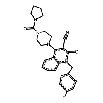 N#Cc1c(N2CCN(C(=O)N3CCCC3)CC2)c2ccccc2n(Cc2ccc(F)cc2)c1=O